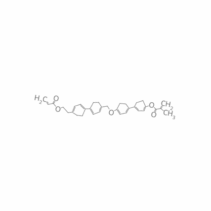 C=CC(=O)OCCC1=CC=C(C2=CC=C(COC3=CC=C(C4=CC=C(OC(=O)C(=C)C)CC4)CC3)CC2)CC1